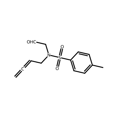 C=C=CCN(CC=O)S(=O)(=O)c1ccc(C)cc1